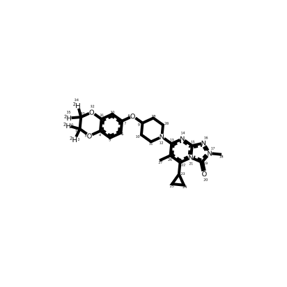 [2H]C1([2H])Oc2ccc(OC3CCN(c4nc5nn(C)c(=O)n5c(C5CC5)c4C)CC3)cc2OC1([2H])[2H]